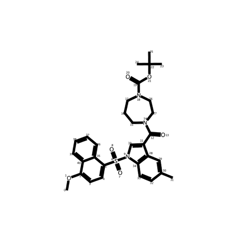 COc1ccc(S(=O)(=O)n2cc(C(=O)N3CCCN(C(=O)OC(C)(C)C)CC3)c3cc(C)ccc32)c2ccccc12